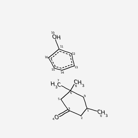 CC1CC(=O)CC(C)(C)C1.Oc1ccccc1